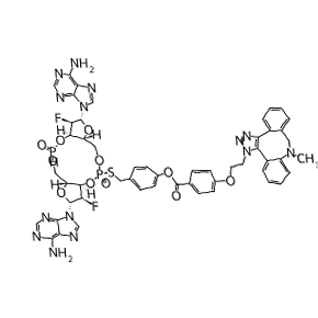 CN1Cc2ccccc2-c2nnn(CCOc3ccc(C(=O)Oc4ccc(CS[P@]5(=O)OC[C@H]6O[C@@H](n7cnc8c(N)ncnc87)[C@H](F)[C@@H]6O[PH](=O)OC[C@H]6O[C@@H](n7cnc8c(N)ncnc87)[C@H](F)[C@@H]6O5)cc4)cc3)c2-c2ccccc21